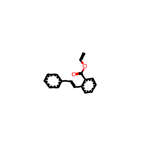 C=COC(=O)c1ccccc1C=Cc1ccccc1